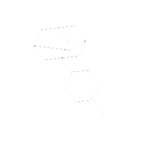 CC(=O)N1CCC(C23CC4CC(CC(C4)C2)C3)CC1